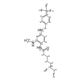 CNc1cc(NCc2ccc(C(F)(F)F)cc2)ccc1NC(=O)CCCC[C@@H](F)CF